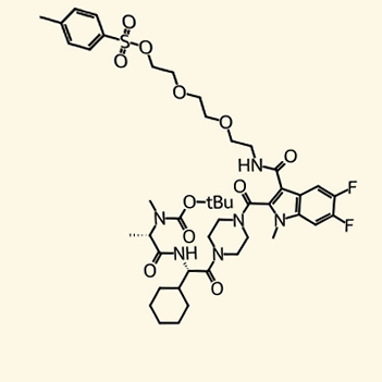 Cc1ccc(S(=O)(=O)OCCOCCOCCNC(=O)c2c(C(=O)N3CCN(C(=O)[C@@H](NC(=O)[C@H](C)N(C)C(=O)OC(C)(C)C)C4CCCCC4)CC3)n(C)c3cc(F)c(F)cc23)cc1